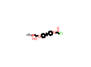 CCCCOC[C@@H](O)COc1ccc(C(C)(C)c2ccc(OC[C@@H](O)CCl)cc2)cc1